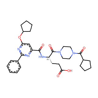 O=C(O)CC[C@H](NC(=O)c1cc(OC2CCCC2)nc(-c2ccccc2)n1)C(=O)N1CCN(C(=O)C2CCCC2)CC1